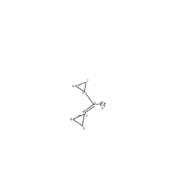 CCC(=C1CC1)C1CC1